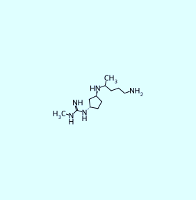 CNC(=N)N[C@H]1CC[C@H](NC(C)CCCN)C1